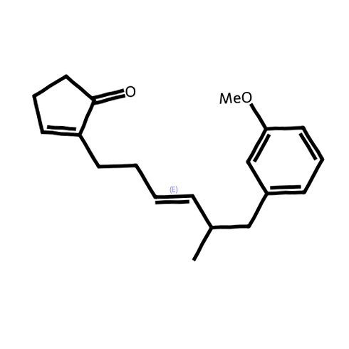 COc1cccc(CC(C)/C=C/CCC2=CCCC2=O)c1